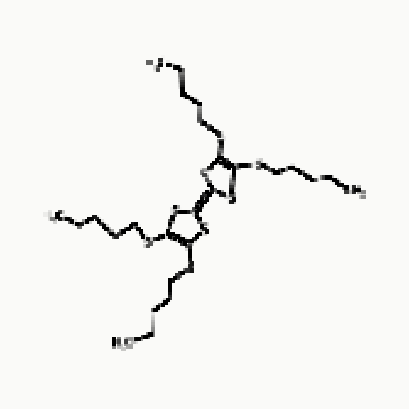 CCCCCSC1=C(SCCCCC)SC(=C2SC(SCCCCC)=C(SCCCCC)S2)S1